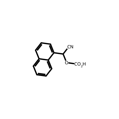 N#CC(OC(=O)O)c1cccc2ccccc12